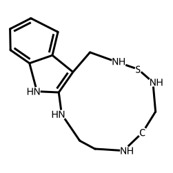 c1ccc2c3c([nH]c2c1)NCCNCCNSNC3